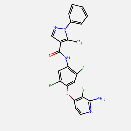 Nc1nccc(Oc2cc(F)c(NC(=O)c3cnn(-c4ccccc4)c3C(F)(F)F)cc2F)c1Cl